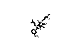 COC(=O)/C=C/Cn1c(=O)c2c(nc(N3CCCC(N)C3)n2CC=C(C)C)n(C)c1=O